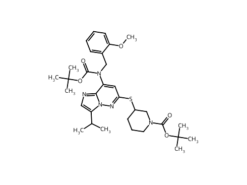 COc1ccccc1CN(C(=O)OC(C)(C)C)c1cc(SC2CCCN(C(=O)OC(C)(C)C)C2)nn2c(C(C)C)cnc12